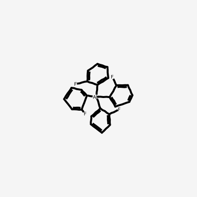 Fc1cccc[c]1[Al-]([c]1ccccc1F)([c]1ccccc1F)[c]1ccccc1F